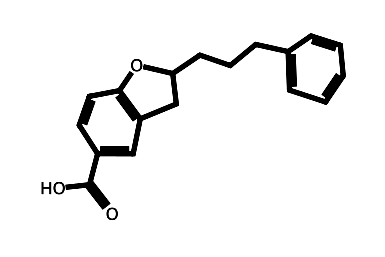 O=C(O)c1ccc2c(c1)CC(CCCc1ccccc1)O2